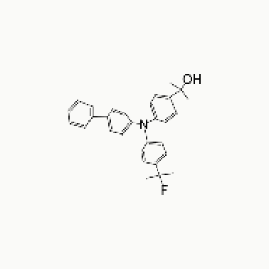 CC(C)(O)c1ccc(N(c2ccc(-c3ccccc3)cc2)c2ccc(C(C)(C)F)cc2)cc1